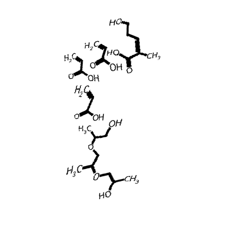 C=CC(=O)O.C=CC(=O)O.C=CC(=O)O.CC(=CCCO)C(=O)O.CC(O)COC(C)COC(C)CO